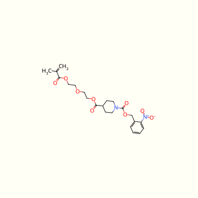 C=C(C)C(=O)OCCOCCOC(=O)C1CCN(C(=O)OCc2ccccc2[N+](=O)[O-])CC1